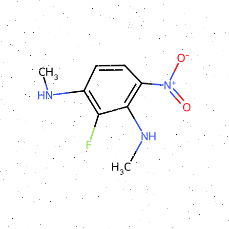 CNc1ccc([N+](=O)[O-])c(NC)c1F